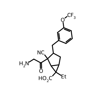 CCC1(C(=O)O)C2CC(Cc3cccc(OC(F)(F)F)c3)C(C#N)(C(=O)CN)C21